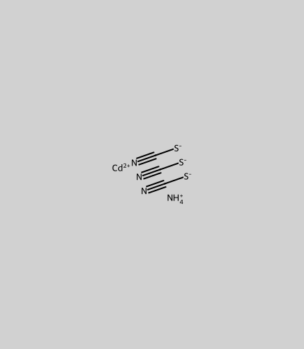 N#C[S-].N#C[S-].N#C[S-].[Cd+2].[NH4+]